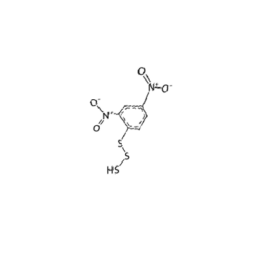 O=[N+]([O-])c1ccc(SSS)c([N+](=O)[O-])c1